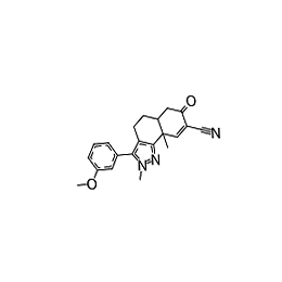 COc1cccc(-c2c3c(nn2C)C2(C)C=C(C#N)C(=O)CC2CC3)c1